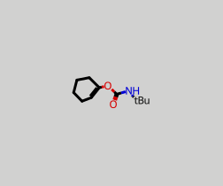 CC(C)(C)NC(=O)OC1=CCCCC1